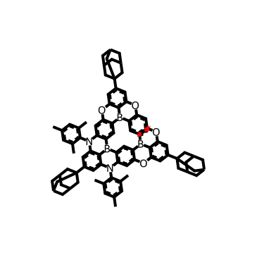 Cc1cc(C)c(N2c3cc4c(cc3B3c5cc6c(cc5N(c5c(C)cc(C)cc5C)c5cc(C78CC9CC(CC(C9)C7)C8)cc2c53)Oc2cc(C35CC7CC(CC(C7)C3)C5)cc3c2B6c2ccccc2O3)B2c3ccccc3Oc3cc(C56CC7CC(CC(C7)C5)C6)cc(c32)O4)c(C)c1